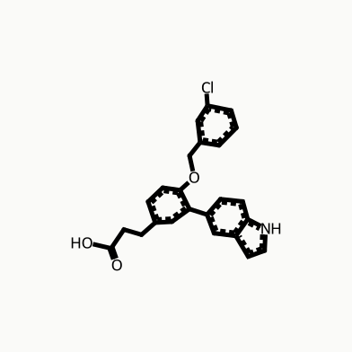 O=C(O)CCc1ccc(OCc2cccc(Cl)c2)c(-c2ccc3[nH]ccc3c2)c1